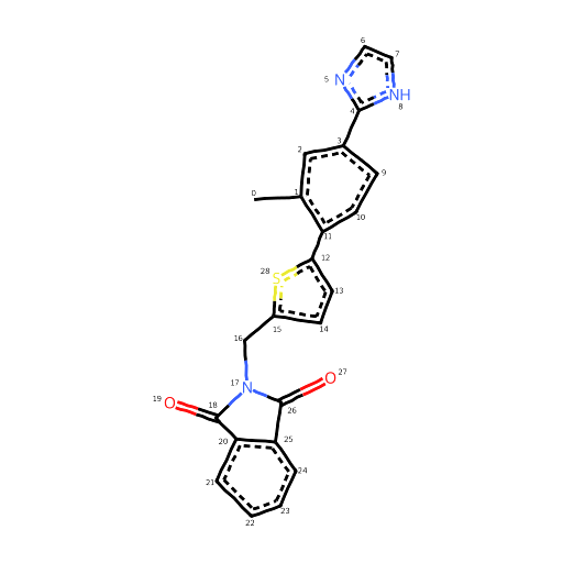 Cc1cc(-c2ncc[nH]2)ccc1-c1ccc(CN2C(=O)c3ccccc3C2=O)s1